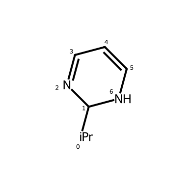 CC(C)C1N=CC=CN1